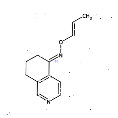 CC=CO/N=C1\CCCc2cnccc21